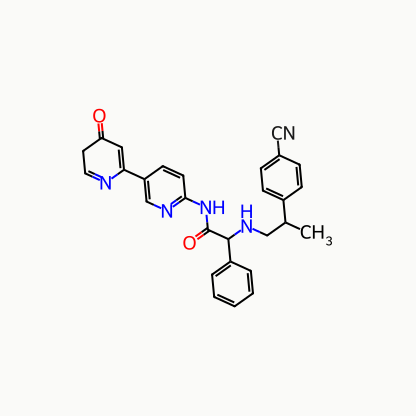 CC(CNC(C(=O)Nc1ccc(C2=CC(=O)CC=N2)cn1)c1ccccc1)c1ccc(C#N)cc1